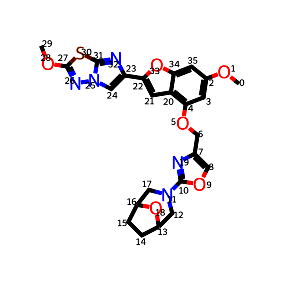 COc1cc(OCc2coc(N3CC4CCC(C3)O4)n2)c2cc(-c3cn4nc(OC)sc4n3)oc2c1